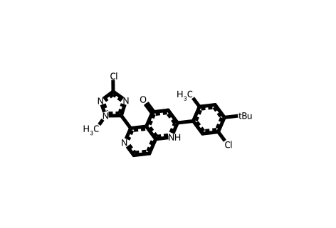 Cc1cc(C(C)(C)C)c(Cl)cc1-c1cc(=O)c2c(-c3nc(Cl)nn3C)nccc2[nH]1